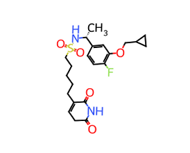 C[C@@H](NS(=O)(=O)CCCCCC1=CCC(=O)NC1=O)c1ccc(F)c(OCC2CC2)c1